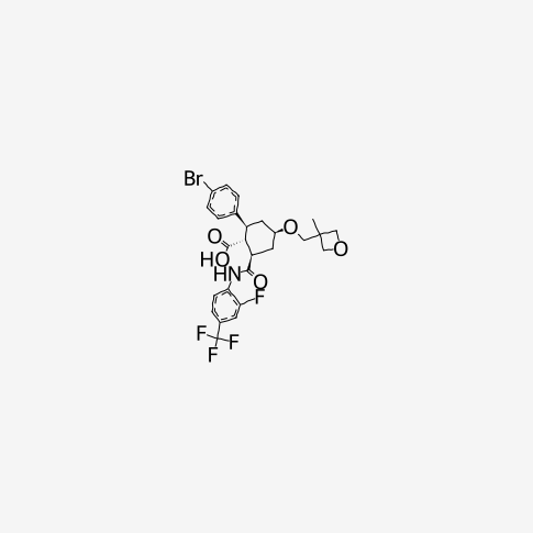 CC1(CO[C@@H]2C[C@H](c3ccc(Br)cc3)[C@@H](C(=O)O)[C@H](C(=O)Nc3ccc(C(F)(F)F)cc3F)C2)COC1